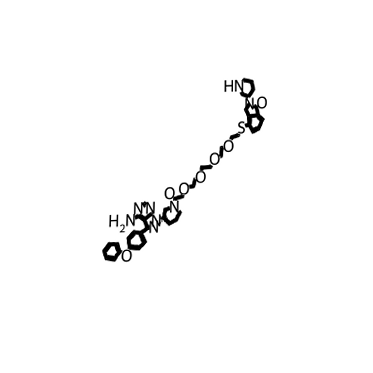 Nc1ncnc2c1c(-c1ccc(Oc3ccccc3)cc1)nn2[C@@H]1CCCN(C(=O)COCCOCCOCCOCCSc2cccc3c2CN(C2CCCNC2)C3=O)C1